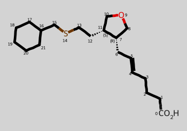 O=C(O)CCCC=CC[C@H]1COC[C@H]1CCSCC1CCCCC1